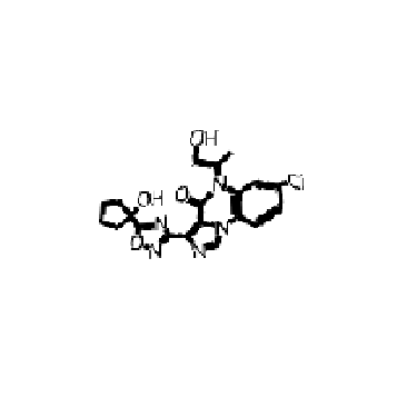 CC(CO)n1c(=O)c2c(-c3noc(C4(O)CCCC4)n3)ncn2c2ccc(Cl)cc21